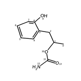 CC(Cc1ccccc1O)OC(N)=O